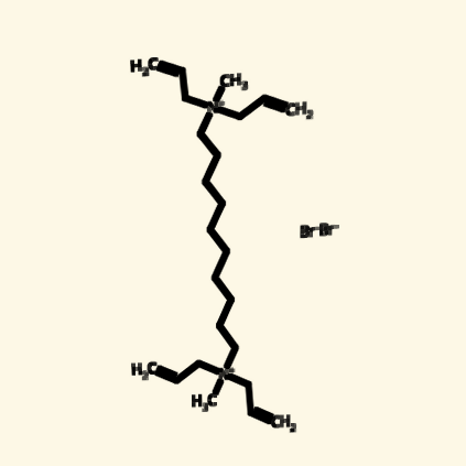 C=CC[N+](C)(CC=C)CCCCCCCCCC[N+](C)(CC=C)CC=C.[Br-].[Br-]